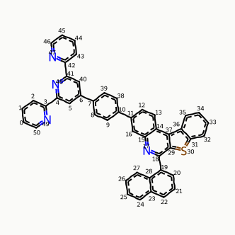 c1ccc(-c2cc(-c3ccc(-c4ccc5c(c4)nc(-c4cccc6ccccc46)c4sc6ccccc6c45)cc3)cc(-c3ccccn3)n2)nc1